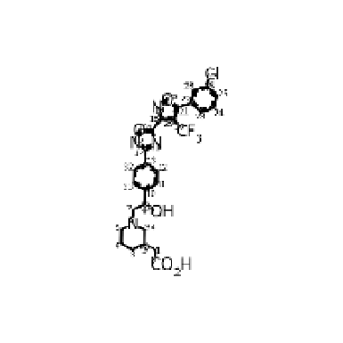 O=C(O)C[C@H]1CCCN(C[C@H](O)c2ccc(-c3noc(-c4noc(-c5cccc(Cl)c5)c4C(F)(F)F)n3)cc2)C1